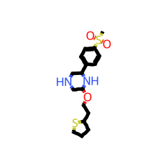 CS(=O)(=O)c1ccc(C2CNCC(OCCC3CCCS3)N2)cc1